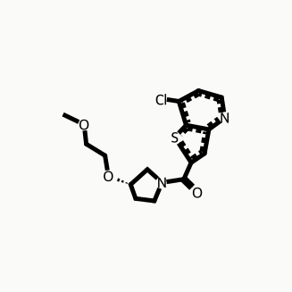 COCCO[C@H]1CCN(C(=O)c2cc3nccc(Cl)c3s2)C1